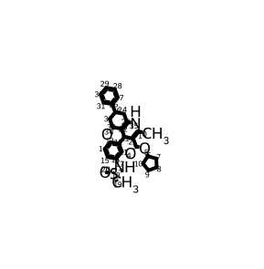 CC1=C(C(=O)OC2CCCC2)C(c2cccc(N[S+](C)[O-])c2)C2=C(CC(c3ccccc3)CC2=O)N1